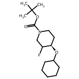 CC(C)(C)OC(=O)N1CC[C@@H](OC2CCCCC2)C(F)C1